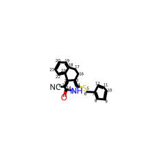 N#Cc1c2c(c(SCc3ccccc3)[nH]c1=O)CCc1ccccc1-2